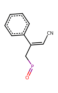 N#C/C=C(/CP=O)c1ccccc1